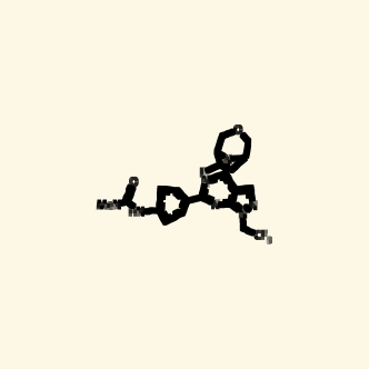 CNC(=O)Nc1ccc(-c2nc(N3C4COCC3C(F)C4)c3cnn(CC(F)(F)F)c3n2)cc1